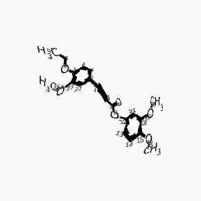 CCOc1ccc(C#CC(=O)Oc2ccc(OC)c(OC)c2)cc1OC